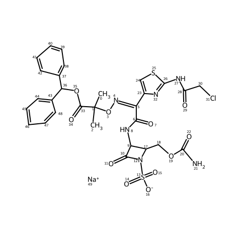 CC(C)(ON=C(C(=O)NC1C(=O)N(S(=O)(=O)[O-])C1COC(N)=O)c1csc(NC(=O)CCl)n1)C(=O)OC(c1ccccc1)c1ccccc1.[Na+]